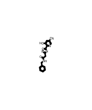 N#Cc1cnc(-c2nc(CC(=O)NCc3ccccc3)no2)c(O)c1